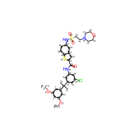 CC(C)Oc1cc(OC(F)(F)F)cc(C(C)(C)c2cc(Cl)cc(NC(=O)c3cc4cc(NS(=O)(=O)CCN5CCOCC5)ccc4s3)c2)c1